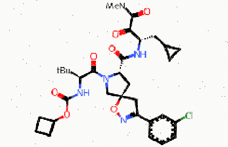 CNC(=O)C(=O)[C@H](CC1CC1)NC(=O)[C@@H]1C[C@]2(CC(c3cccc(Cl)c3)=NO2)CN1C(=O)[C@@H](NC(=O)OC1CCC1)C(C)(C)C